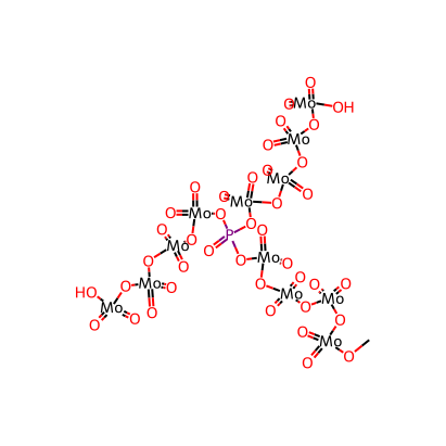 C[O][Mo](=[O])(=[O])[O][Mo](=[O])(=[O])[O][Mo](=[O])(=[O])[O][Mo](=[O])(=[O])[O]P(=O)([O][Mo](=[O])(=[O])[O][Mo](=[O])(=[O])[O][Mo](=[O])(=[O])[O][Mo](=[O])(=[O])[OH])[O][Mo](=[O])(=[O])[O][Mo](=[O])(=[O])[O][Mo](=[O])(=[O])[O][Mo](=[O])(=[O])[OH]